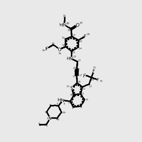 CCN1CCC(Nc2cccc3c(CC(F)(F)F)c(C#CCNc4cc(F)c(C(=O)NC)cc4OCF)sc23)CC1